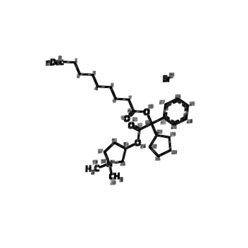 CCCCCCCCCCCCCCCCCC(=O)OC(C(=O)OC1CC[N+](C)(C)C1)(c1ccccc1)C1CCCC1.[Br-]